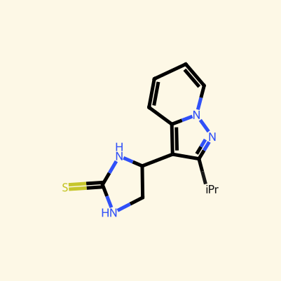 CC(C)c1nn2ccccc2c1C1CNC(=S)N1